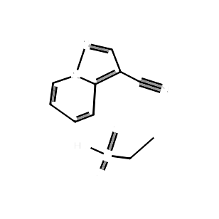 CCS(=O)(=O)O.N#Cc1cnn2ccccc12